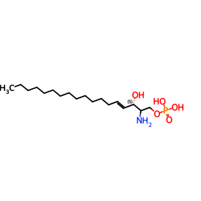 CCCCCCCCCCCCCC=C[C@H](O)C(N)COP(=O)(O)O